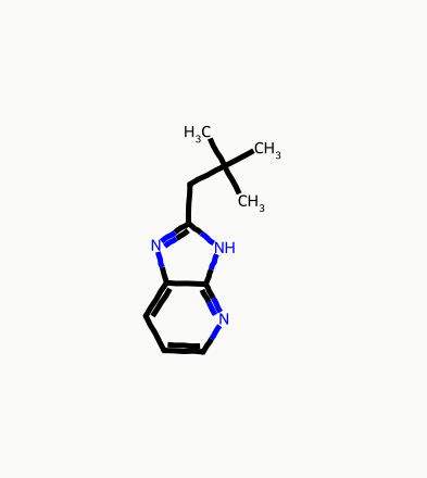 CC(C)(C)Cc1nc2cccnc2[nH]1